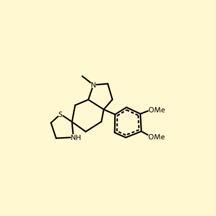 COc1ccc(C23CCN(C)C2CC2(CC3)NCCS2)cc1OC